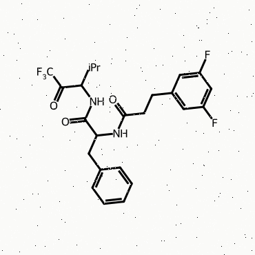 CC(C)C(NC(=O)C(Cc1ccccc1)NC(=O)CCc1cc(F)cc(F)c1)C(=O)C(F)(F)F